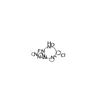 C=C1c2cc(Cl)ccc2CCC(=O)NCCN(C)c2c(F)c(N3CC[C@H](C)C3)nc3cc(nn23)C2CCCCN12